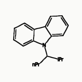 CCCC(C(C)C)n1c2ccccc2c2ccccc21